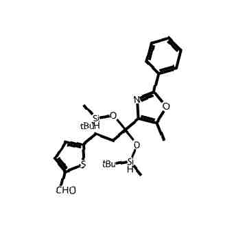 Cc1oc(-c2ccccc2)nc1C(CCc1ccc(C=O)s1)(O[SiH](C)C(C)(C)C)O[SiH](C)C(C)(C)C